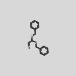 S=CC(SCc1ccccc1)SCc1ccccc1